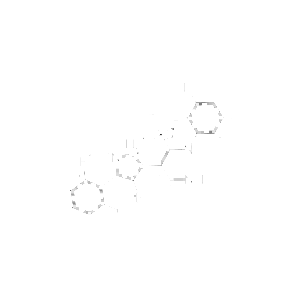 Cc1cccc(F)c1-c1noc(/C(C=N)=C(/Nc2cccc(F)c2)C(F)(F)P)c1Br